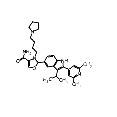 Cc1cc(-c2[nH]c3ccc(C4OC=C(C(N)=O)N4CCCCN4CCCC4)cc3c2C(C)C)cc(C)n1